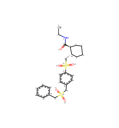 N#CCNC(=O)[C@H]1CCCC[C@@H]1CS(=O)(=O)c1ccc(CS(=O)(=O)Cc2ccccc2)cc1